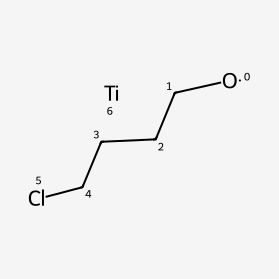 [O]CCCCCl.[Ti]